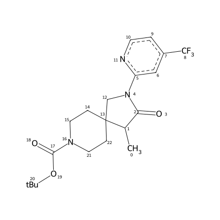 CC1C(=O)N(c2cc(C(F)(F)F)ccn2)CC12CCN(C(=O)OC(C)(C)C)CC2